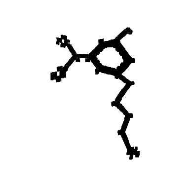 Cc1cc(CCCCN)cc(C(N)C(F)(F)F)c1